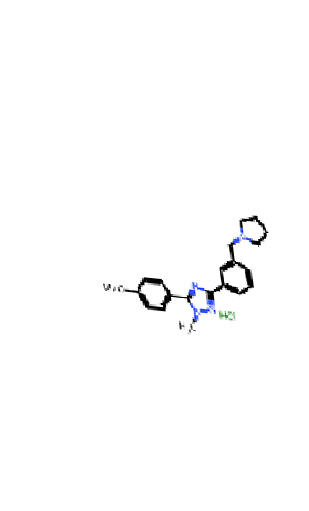 COc1ccc(-c2nc(-c3cccc(CN4CCCC4)c3)nn2C)cc1.Cl